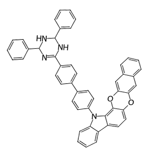 c1ccc(C2N=C(c3ccc(-c4ccc(-n5c6ccccc6c6ccc7c(c65)Oc5cc6ccccc6cc5O7)cc4)cc3)NC(c3ccccc3)N2)cc1